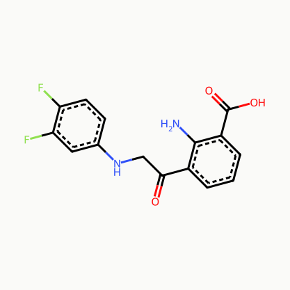 Nc1c(C(=O)O)cccc1C(=O)CNc1ccc(F)c(F)c1